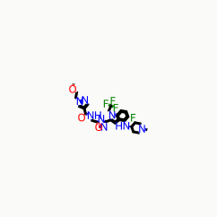 COCCn1cc(C(=O)NCc2nc(-c3cc4c(N[C@@H]5CCN(C)C[C@@H]5F)cccc4n3CC(F)(F)F)no2)cn1